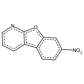 O=[N+]([O-])c1ccc2c(c1)oc1ncccc12